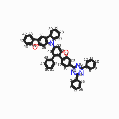 c1ccc(-c2nc(-c3ccccc3)nc(-c3ccc4c(c3)oc3cc(-n5c6ccccc6c6cc7c(cc65)oc5ccccc57)cc(-c5ccccc5)c34)n2)cc1